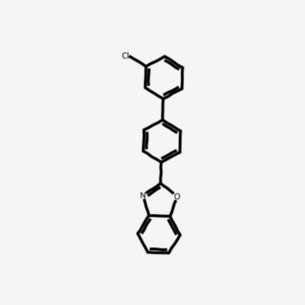 Clc1cccc(-c2ccc(-c3nc4ccccc4o3)cc2)c1